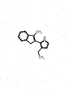 CCc1cc[nH]c1C1=C(C)c2ccccc2[CH]1